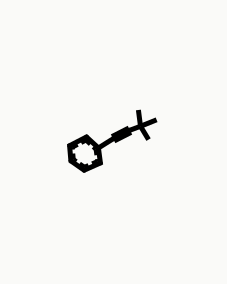 CC(C)(C)C#Cc1c[c]ccc1